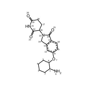 NC1CCCCC1Oc1ccc2c(c1)CN(C1CCC(=O)NC1=O)C2=O